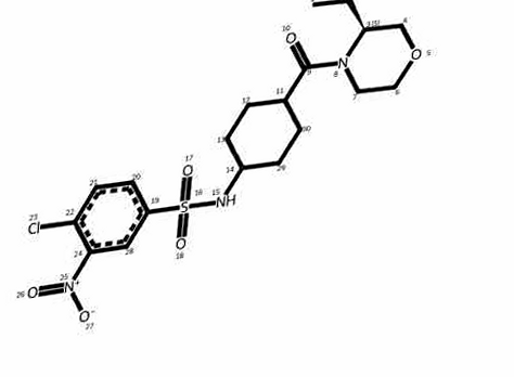 CC(C)[C@H]1COCCN1C(=O)C1CCC(NS(=O)(=O)c2ccc(Cl)c([N+](=O)[O-])c2)CC1